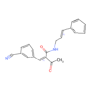 CC(=O)/C(=C/c1cccc(C#N)c1)C(=O)NC/C=C/c1ccccc1